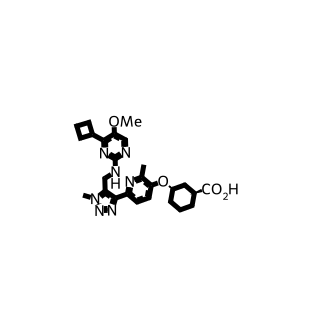 COc1cnc(NCc2c(-c3ccc(O[C@H]4CCC[C@H](C(=O)O)C4)c(C)n3)nnn2C)nc1C1CCC1